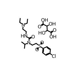 CCN(CC)CCNC(=O)N(CCS(=O)(=O)c1ccc(Cl)cc1)C(C)C.O=C(O)C(O)C(O)C(=O)O